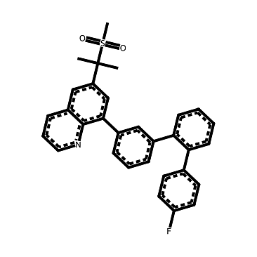 CC(C)(c1cc(-c2cccc(-c3ccccc3-c3ccc(F)cc3)c2)c2ncccc2c1)S(C)(=O)=O